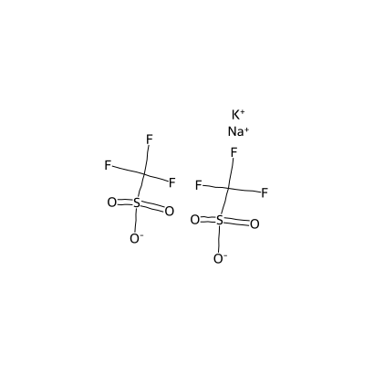 O=S(=O)([O-])C(F)(F)F.O=S(=O)([O-])C(F)(F)F.[K+].[Na+]